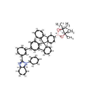 CC1(C)OB(c2ccc3c(c2)-c2ccccc2C32c3ccccc3-c3cc(-c4cccc(-c5nc6ccccc6n5-c5ccccc5)c4)ccc32)OC1(C)C